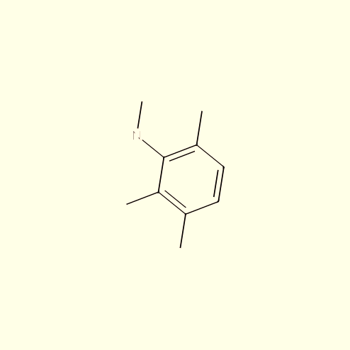 C[N]c1c(C)ccc(C)c1C